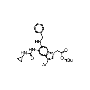 CC(=O)c1cn(CC(=O)OC(C)(C)C)c2cc(NCc3ccccc3)c(NC(=O)NC3CC3)cc12